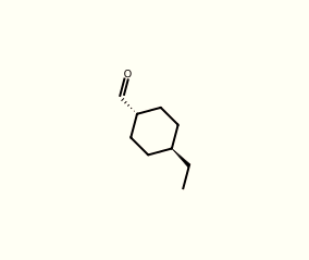 CC[C@H]1CC[C@H](C=O)CC1